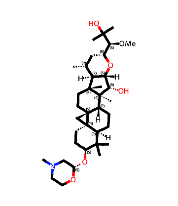 CO[C@@H]([C@H]1C[C@@H](C)[C@H]2[C@H](O1)[C@H](O)[C@@]1(C)[C@@H]3CC[C@H]4C(C)(C)[C@@H](O[C@H]5CN(C)CCO5)CC[C@@]45C[C@@]35CC[C@]21C)C(C)(C)O